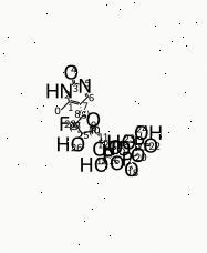 Cc1[nH]c(=O)ncc1[C@@H]1O[C@H](COP(=O)(O)OP(=O)(O)OP(=O)(O)O)C(O)[C@@H]1F